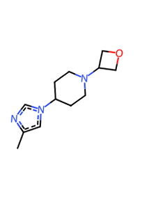 Cc1cn(C2CCN(C3COC3)CC2)cn1